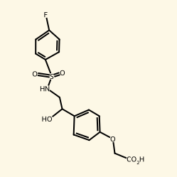 O=C(O)COc1ccc(C(O)CNS(=O)(=O)c2ccc(F)cc2)cc1